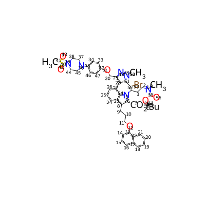 CN(CCCn1c(C(=O)O)c(CCCOc2cccc3ccccc23)c2cccc(-c3c(COc4ccc(N5CCN(S(C)(=O)=O)CC5)cc4)nn(C)c3CBr)c21)C(=O)OC(C)(C)C